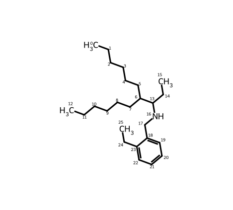 CCCCCCC(CCCCCC)C(CC)NCc1ccccc1CC